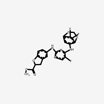 COC(=O)C1Cc2cc(Nc3ncc(F)c(Nc4cc5c(F)c(F)c4OCO5)n3)ccc2O1